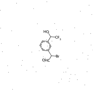 O=CC(Br)c1cccc(C(O)C(F)(F)F)c1